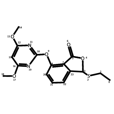 CCSC1OC(=O)c2c(Oc3nc(OC)cc(OC)n3)cccc21